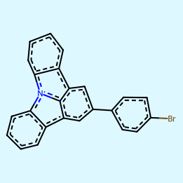 Brc1ccc(-c2cc3c4ccccc4n4c5ccccc5c(c2)c34)cc1